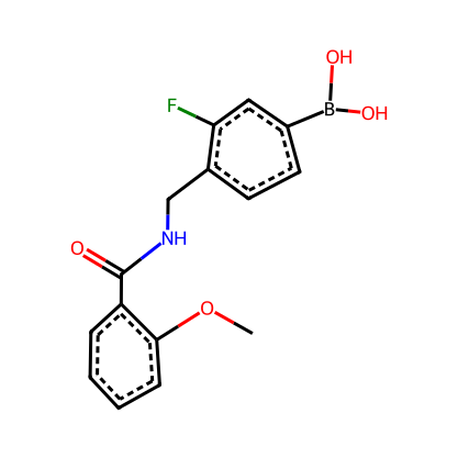 COc1ccccc1C(=O)NCc1ccc(B(O)O)cc1F